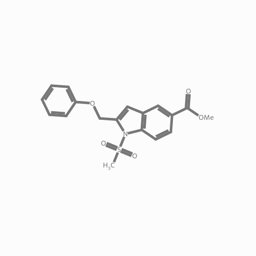 COC(=O)c1ccc2c(c1)cc(COc1ccccc1)n2S(C)(=O)=O